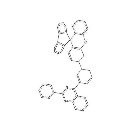 C1=CC(c2nc(-c3ccccc3)nc3ccccc23)=CC(C2C=CC3=C(C2)Oc2ccccc2C32c3ccccc3-c3ccccc32)C1